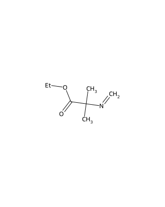 C=NC(C)(C)C(=O)OCC